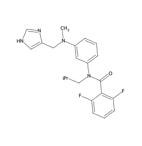 CC(C)CN(C(=O)c1c(F)cccc1F)c1cccc(N(C)Cc2c[nH]cn2)c1